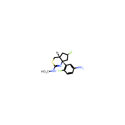 Nc1ccc(F)c([C@]23C[C@H](F)C[C@H]2CSC(NC(=O)O)=N3)c1